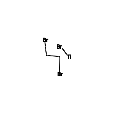 BrCCBr.[Ti][Br]